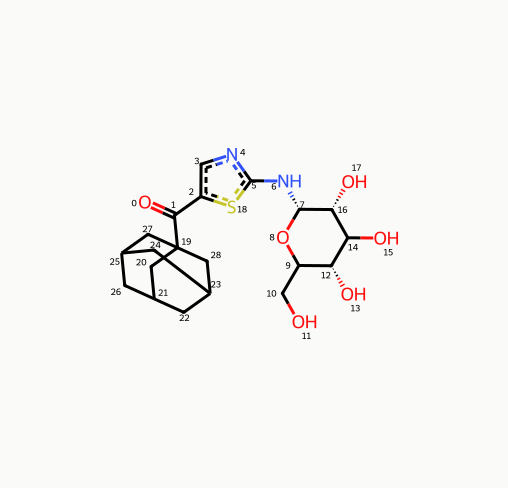 O=C(c1cnc(N[C@H]2OC(CO)[C@@H](O)C(O)[C@H]2O)s1)C12CC3CC(CC(C3)C1)C2